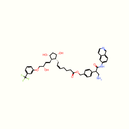 NCC(C(=O)Nc1ccc2cnccc2c1)c1ccc(COC(=O)CCC/C=C\C[C@@H]2[C@@H](/C=C/[C@H](O)COc3cccc(C(F)(F)F)c3)[C@H](O)C[C@@H]2O)cc1